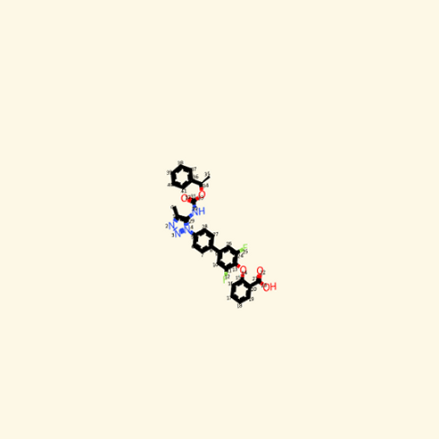 Cc1nnn(-c2ccc(-c3cc(F)c(Oc4ccccc4C(=O)O)c(F)c3)cc2)c1NC(=O)O[C@H](C)c1ccccc1